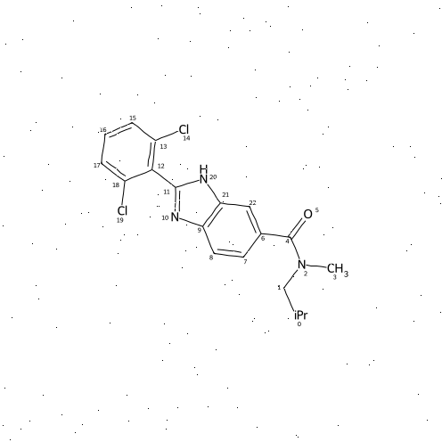 CC(C)CN(C)C(=O)c1ccc2nc(-c3c(Cl)cccc3Cl)[nH]c2c1